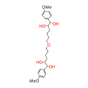 COc1ccc(C(O)C(O)CCCCOCCCCC(O)C(O)c2ccc(OC)cc2)cc1